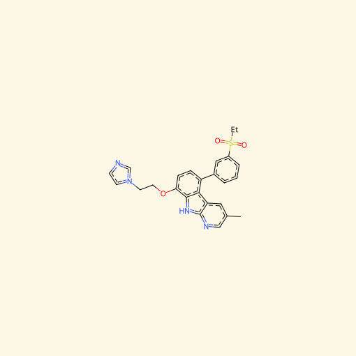 CCS(=O)(=O)c1cccc(-c2ccc(OCCn3ccnc3)c3[nH]c4ncc(C)cc4c23)c1